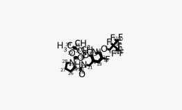 COc1nc(OCC(F)(C(F)(F)F)C(F)(F)F)c(F)cc1CNC(=O)[C@@H]1CCCN1C(=O)OC(C)(C)C